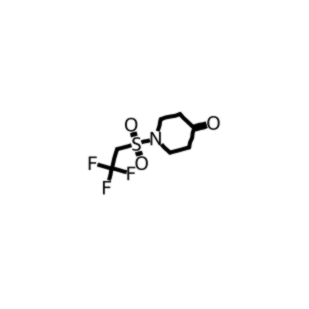 O=C1CCN(S(=O)(=O)CC(F)(F)F)CC1